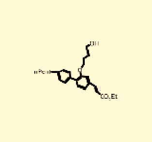 CCCCCc1ccc(-c2ccc(/C=C/C(=O)OCC)cc2OCCCCO)cc1